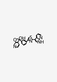 O[C@@]1(c2cccc(-c3csc(-c4c[nH]c5ncccc45)n3)c2)COc2cnccc21